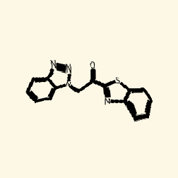 O=C(Cn1nnc2ccccc21)c1nc2ccccc2s1